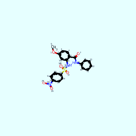 COc1ccc(C(=O)Nc2ccccc2)c(NS(=O)(=O)c2ccc([N+](=O)[O-])cc2)c1